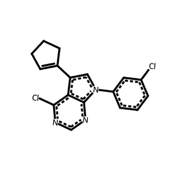 Clc1cccc(-n2cc(C3=CCCC3)c3c(Cl)ncnc32)c1